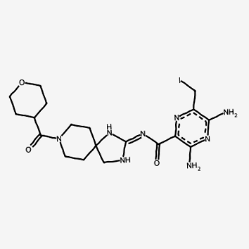 Nc1nc(N)c(C(=O)/N=C2\NCC3(CCN(C(=O)C4CCOCC4)CC3)N2)nc1CI